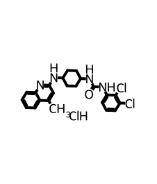 Cc1cc(NC2CCC(NC(=O)Nc3cccc(Cl)c3Cl)CC2)nc2ccccc12.Cl